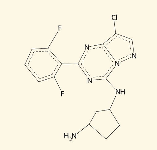 NC1CCC(Nc2nc(-c3c(F)cccc3F)nc3c(Cl)cnn23)C1